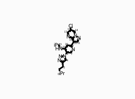 CC(C)CCc1cn(-c2cnc(-c3cnn4cc(Cl)cnc34)cc2NC(C)C)nn1